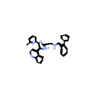 Cc1cccc(-c2nc(CNCc3ccccc3-c3ccccc3)[nH]c2-c2ccnc3ccccc23)n1